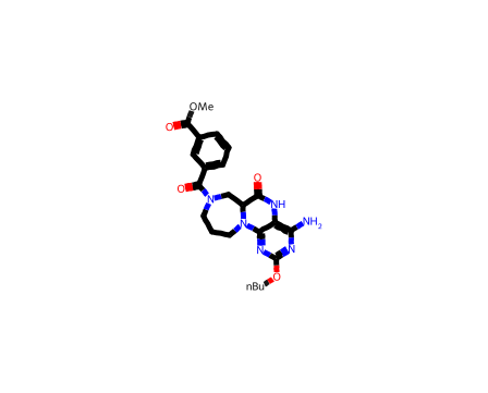 CCCCOc1nc(N)c2c(n1)N1CCCN(C(=O)c3cccc(C(=O)OC)c3)CC1C(=O)N2